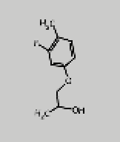 Cc1ccc(OCC(C)O)cc1F